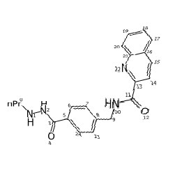 CCCNNC(=O)c1ccc(CNC(=O)c2ccc3ccccc3n2)cc1